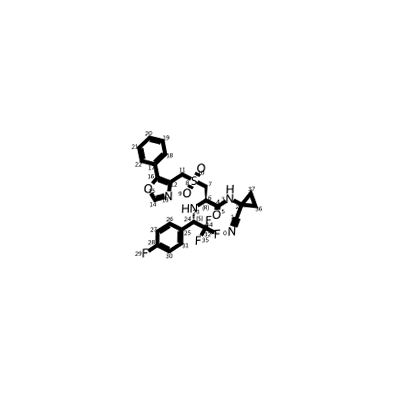 N#CC1(NC(=O)[C@H](CS(=O)(=O)Cc2ncoc2-c2ccccc2)N[C@@H](c2ccc(F)cc2)C(F)(F)F)CC1